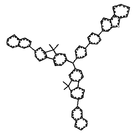 CC1(C)c2cc(-c3ccc4ccccc4c3)ccc2-c2ccc(C(c3ccc(-c4ccc(-c5ccc6c(c5)oc5ccccc56)cc4)cc3)c3ccc4c(c3)C(C)(C)c3cc(-c5ccc6ccccc6c5)ccc3-4)cc21